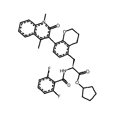 Cc1c(-c2ccc(C[C@H](NC(=O)c3c(F)cccc3F)C(=O)OC3CCCC3)c3c2OCCC3)c(=O)n(C)c2ccccc12